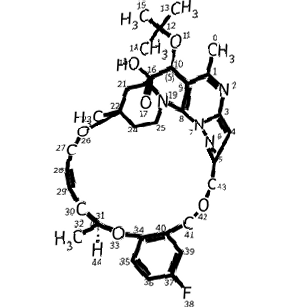 Cc1nc2cc3nn2c(c1[C@H](OC(C)(C)C)C(=O)O)N1CCC(C)(CC1)OCC=CC[C@H](C)Oc1ccc(F)cc1COC3